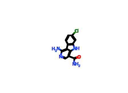 NC(=O)c1cnc(N)c2c1[nH]c1cc(Cl)ccc12